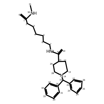 C=C(CCCCCCNC(=C)C1CCN(C(c2ccccc2)c2ccccc2)CC1)NC